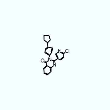 O=c1c2ccccc2nc(-c2ccc(Cl)nc2)n1-c1ccc(C2CCCC2)cc1